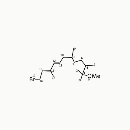 COC(C)(C)C(C)CCC(C)C/C=C/C(C)=C/CBr